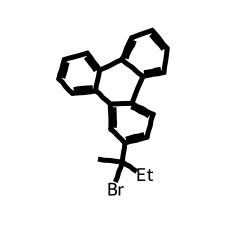 CCC(C)(Br)c1ccc2c3ccccc3c3ccccc3c2c1